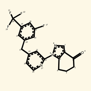 O=C1CCCc2c1cnn2-c1cc(Cc2cc(F)cc(C(F)(F)F)c2)ccn1